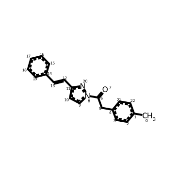 Cc1ccc(CC(=O)n2ccc(/C=C/c3ccccc3)n2)cc1